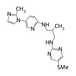 CSc1cnc(NCC(C)CNc2ccc(-n3ccnc3C)cn2)nc1